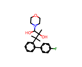 CC(C)(c1ccccc1-c1ccc(F)cc1)C(C)(O)C(O)N1CCOCC1